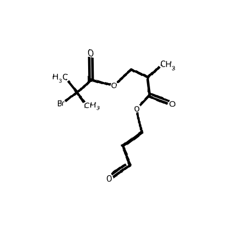 CC(COC(=O)C(C)(C)Br)C(=O)OCCC=O